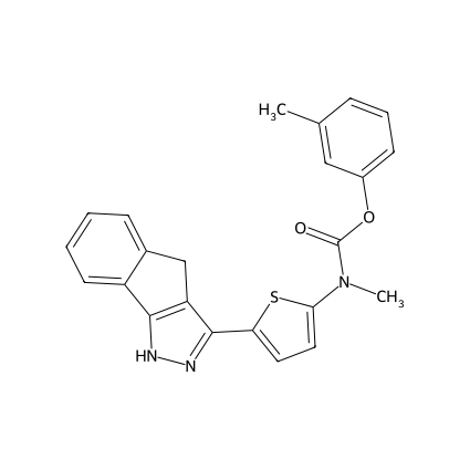 Cc1cccc(OC(=O)N(C)c2ccc(-c3n[nH]c4c3Cc3ccccc3-4)s2)c1